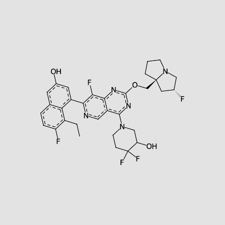 CCc1c(F)ccc2cc(O)cc(-c3ncc4c(N5CCC(F)(F)C(O)C5)nc(OC[C@@]56CCCN5C[C@H](F)C6)nc4c3F)c12